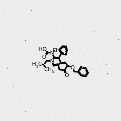 CC(C)CN1C=C2CC(=O)C(OCc3ccccc3)C=C2C(c2ccccc2)=C1N(C)C(=O)O